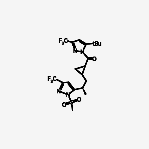 C[C@H](CC1CC1C(=O)n1nc(C(F)(F)F)cc1C(C)(C)C)c1cc(C(F)(F)F)nn1S(C)(=O)=O